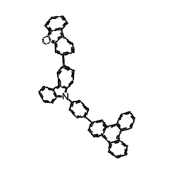 c1ccc2c(c1)oc1cc(-c3ccc4c(c3)c3ccccc3n4-c3ccc(-c4ccc5c6ccccc6c6ccccc6c5c4)cc3)ccc12